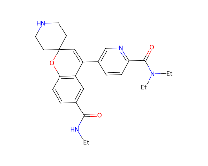 CCNC(=O)c1ccc2c(c1)C(c1ccc(C(=O)N(CC)CC)nc1)=CC1(CCNCC1)O2